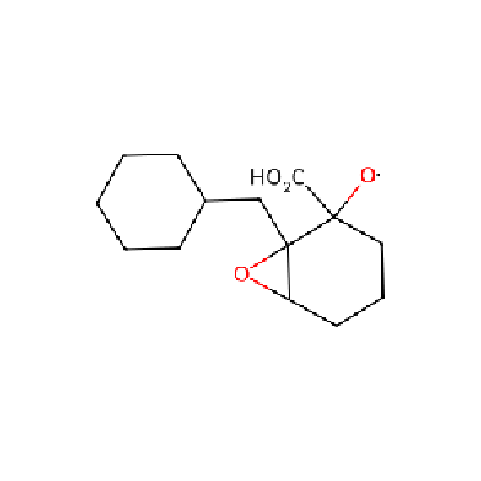 [O]C1(C(=O)O)CCCC2OC21CC1CCCCC1